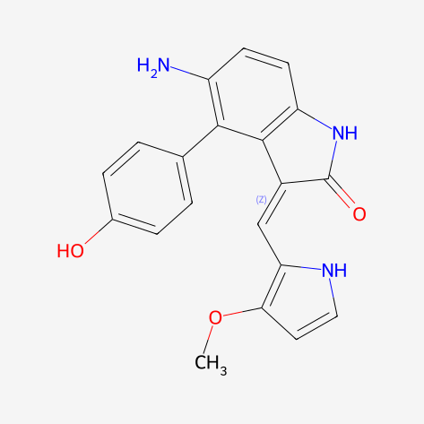 COc1cc[nH]c1/C=C1\C(=O)Nc2ccc(N)c(-c3ccc(O)cc3)c21